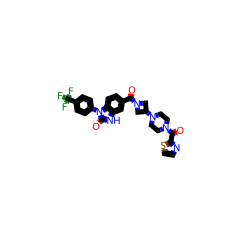 O=C(c1ccc2c(c1)[nH]c(=O)n2-c1ccc(C(F)(F)F)cc1)N1CC(N2CCN(C(=O)c3nccs3)CC2)C1